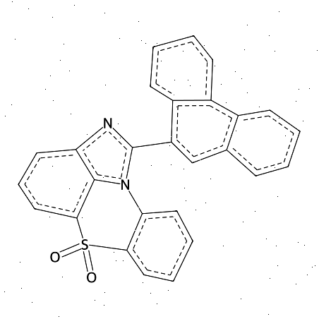 O=S1(=O)c2ccccc2-n2c(-c3cc4ccccc4c4ccccc34)nc3cccc1c32